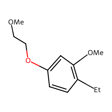 CCc1ccc(OCCOC)cc1OC